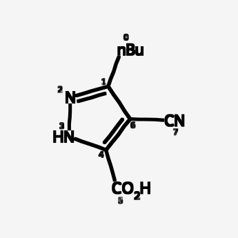 CCCCc1n[nH]c(C(=O)O)c1C#N